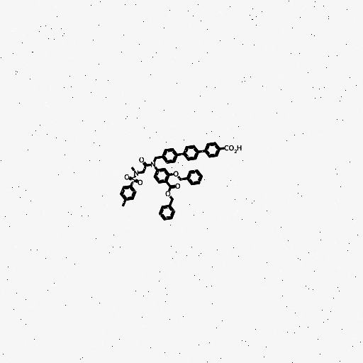 Cc1ccc(S(=O)(=O)N(C)CC(=O)N(Cc2ccc(-c3ccc(-c4ccc(C(=O)O)cc4)cc3)cc2)c2ccc(C(=O)OCc3ccccc3)c(OCc3ccccc3)c2)cc1